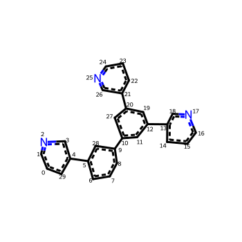 c1cncc(-c2cccc(-c3cc(-c4cccnc4)cc(-c4cccnc4)c3)c2)c1